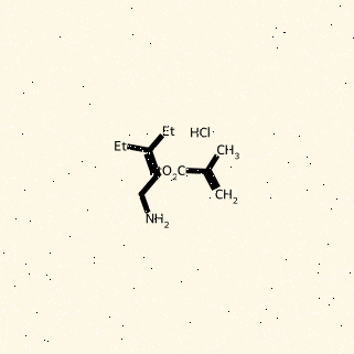 C=C(C)C(=O)OCC.CCC(=CCN)CC.Cl